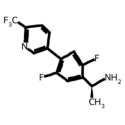 C[C@H](N)c1cc(F)c(-c2ccc(C(F)(F)F)nc2)cc1F